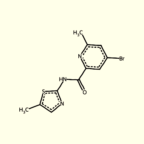 Cc1cc(Br)cc(C(=O)Nc2ncc(C)s2)n1